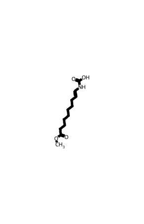 COC(=O)CCCCCCCC=CNC(=O)O